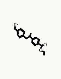 CCOC(=O)c1ccc(C(C)Cc2ccc(CBr)cc2)cc1